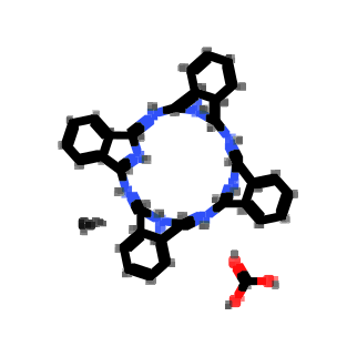 O=C([O-])[O-].[Co+2].c1ccc2c(c1)-c1nc-2nc2[nH]c(nc3nc(nc4[nH]c(n1)c1ccccc41)-c1ccccc1-3)c1ccccc21